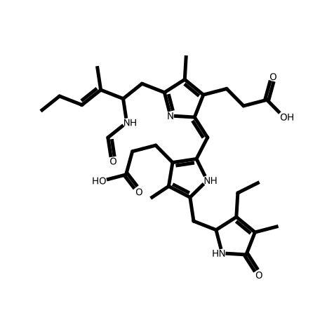 CC/C=C(\C)C(CC1=NC(=Cc2[nH]c(CC3NC(=O)C(C)=C3CC)c(C)c2CCC(=O)O)C(CCC(=O)O)=C1C)NC=O